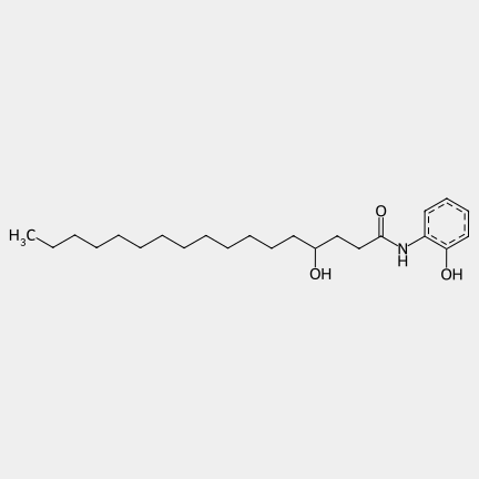 CCCCCCCCCCCCCC(O)CCC(=O)Nc1ccccc1O